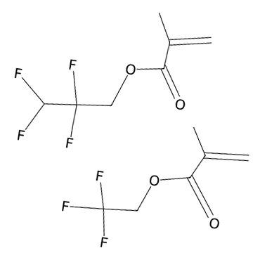 C=C(C)C(=O)OCC(F)(F)C(F)F.C=C(C)C(=O)OCC(F)(F)F